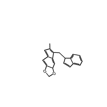 CC1=C(CC2C=Cc3ccccc32)C2=CC3OCOC3=CC2=C1